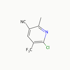 Cc1nc(Cl)c(C(F)(F)F)cc1C#N